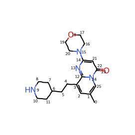 Cc1cc(CCC2CCNCC2)c2nc(N3CCOCC3)cc(=O)n2c1